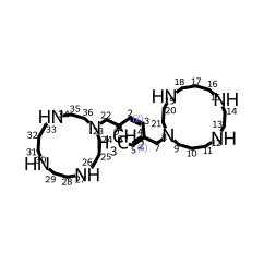 C=C(/C=C\C(=C/C)CN1CCCNCCNCCCNCC1)CN1CCCNCCNCCCNCC1